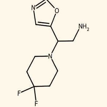 NCC(c1cnco1)N1CCC(F)(F)CC1